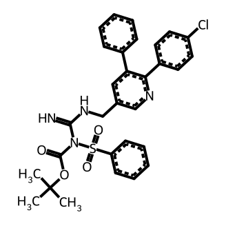 CC(C)(C)OC(=O)N(C(=N)NCc1cnc(-c2ccc(Cl)cc2)c(-c2ccccc2)c1)S(=O)(=O)c1ccccc1